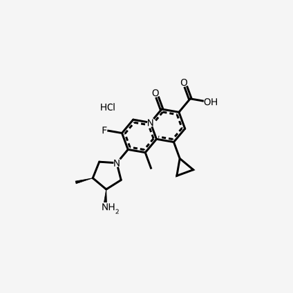 Cc1c(N2C[C@@H](N)[C@@H](C)C2)c(F)cn2c(=O)c(C(=O)O)cc(C3CC3)c12.Cl